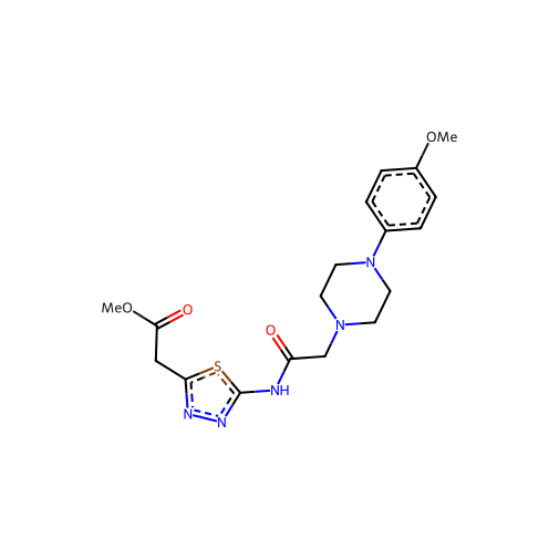 COC(=O)Cc1nnc(NC(=O)CN2CCN(c3ccc(OC)cc3)CC2)s1